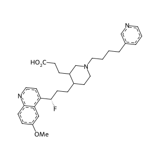 COc1ccc2nccc([C@@H](F)CCC3CCN(CCCCc4cccnc4)CC3CCC(=O)O)c2c1